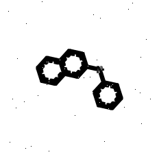 c1ccc([N]c2ccc3ccccc3c2)cc1